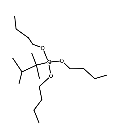 CCCCO[Si](OCCCC)(OCCCC)C(C)(C)C(C)C